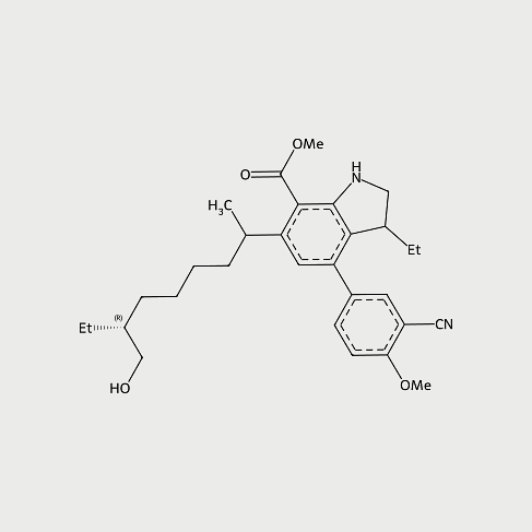 CCC1CNc2c(C(=O)OC)c(C(C)CCCC[C@@H](CC)CO)cc(-c3ccc(OC)c(C#N)c3)c21